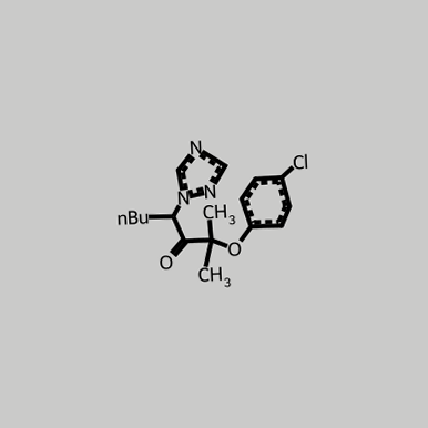 CCCCC(C(=O)C(C)(C)Oc1ccc(Cl)cc1)n1cncn1